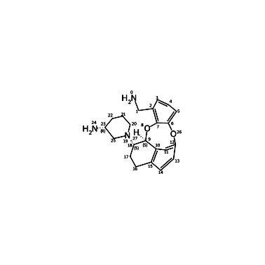 NCc1cccc2c1O[C@H]1c3cc(ccc3CC[C@@H]1N1CCC[C@@H](N)C1)O2